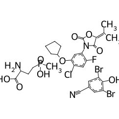 CC(C)=C1OC(=O)N(c2cc(OC3CCCC3)c(Cl)cc2F)C1=O.CP(=O)(O)CCC(N)C(=O)O.N#Cc1cc(Br)c(O)c(Br)c1